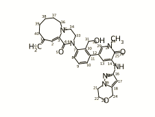 C=C1/C=C2/C(=O)N(c3cccc(-c4cc(Nc5cc6n(n5)CCOC6)c(=O)n(C)c4)c3CO)CCN2CCCCC1